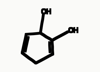 OC1=CCC=CC1O